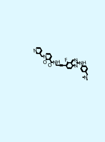 CN(C)Cc1ccc(Nc2ncc3c(F)c(C#CCNC(=O)c4cccn(Cc5cccnc5)c4=O)ccc3n2)cc1